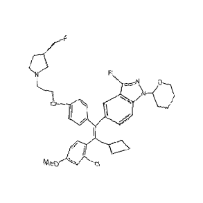 COc1ccc(/C(=C(\c2ccc(OCCN3CC[C@@H](CF)C3)cc2)c2ccc3c(c2)c(F)nn3C2CCCCO2)C2CCC2)c(Cl)c1